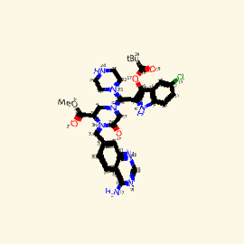 COC(=O)C1CN(C(c2[nH]c3ccc(Cl)cc3c2OC(=O)C(C)(C)C)N2CCNCC2)CC(=O)N1Cc1ccc2c(N)ncnc2c1